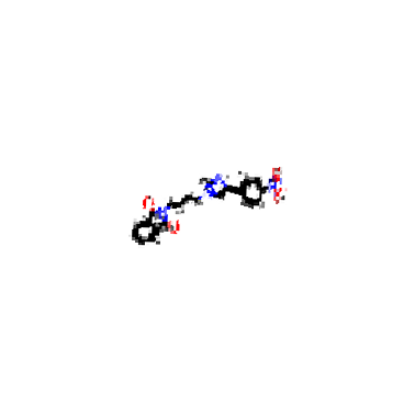 O=C1c2ccccc2C(=O)N1CCCCn1cnc(-c2ccc([N+](=O)[O-])cc2)c1